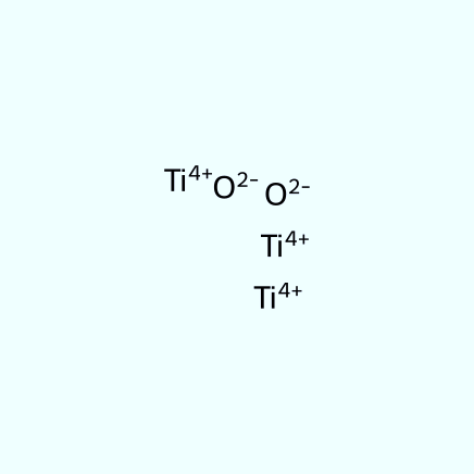 [O-2].[O-2].[Ti+4].[Ti+4].[Ti+4]